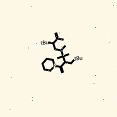 C=C(C)C(CC(C)C(C)(C)C(CC(C)(C)C)C(=C)N1CCCCC1)C(C)(C)C